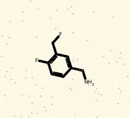 NCc1ccc(F)c(CF)c1